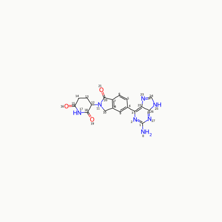 Nc1nc(-c2ccc3c(c2)CN(C2CCC(=O)NC2=O)C3=O)c2nc[nH]c2n1